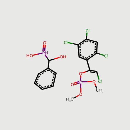 COP(=O)(OC)O/C(=C\Cl)c1cc(Cl)c(Cl)cc1Cl.O=[PH](O)C(O)c1ccccc1